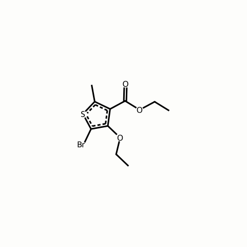 CCOC(=O)c1c(C)sc(Br)c1OCC